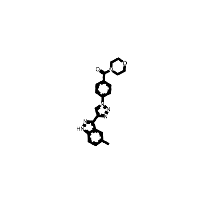 Cc1ccc2[nH]nc(-c3cn(-c4ccc(C(=O)N5CCOCC5)cc4)nn3)c2c1